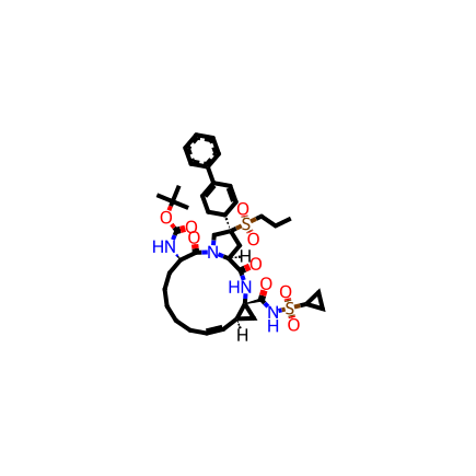 CCCS(=O)(=O)[C@@]1(C2C=CC(c3ccccc3)=CC2)C[C@H]2C(=O)N[C@]3(C(=O)NS(=O)(=O)C4CC4)C[C@H]3/C=C\CCCCC[C@H](NC(=O)OC(C)(C)C)C(=O)N2C1